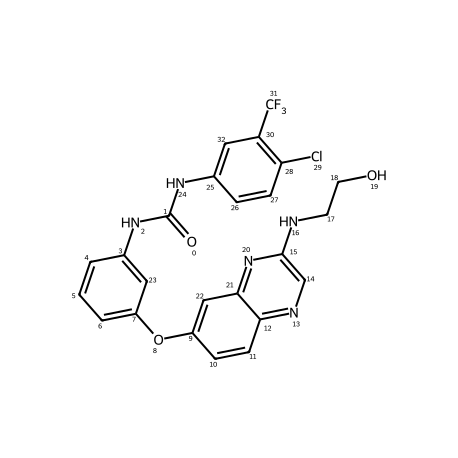 O=C(Nc1cccc(Oc2ccc3ncc(NCCO)nc3c2)c1)Nc1ccc(Cl)c(C(F)(F)F)c1